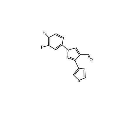 O=Cc1cn(-c2ccc(F)c(F)c2)nc1-c1ccsc1